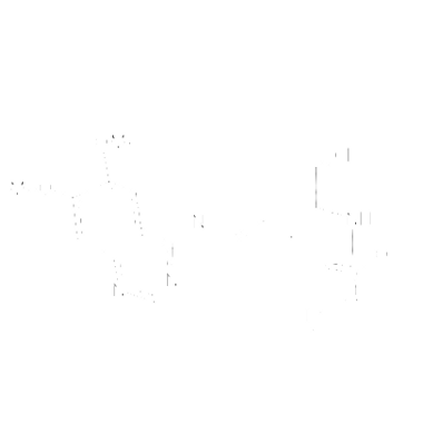 C=C/C(=C\C=C\Nc1ncnc2cc(OC)c(OC)cc12)NS(=O)(=O)C=C